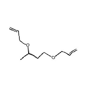 C=CCOCCC(C)OCC=C